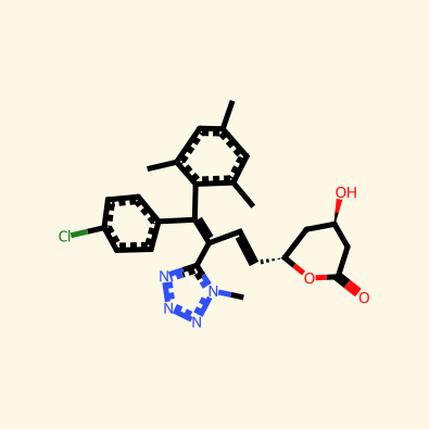 Cc1cc(C)c(C(=C(C=C[C@@H]2C[C@@H](O)CC(=O)O2)c2nnnn2C)c2ccc(Cl)cc2)c(C)c1